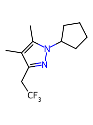 Cc1c(CC(F)(F)F)nn(C2CCCC2)c1C